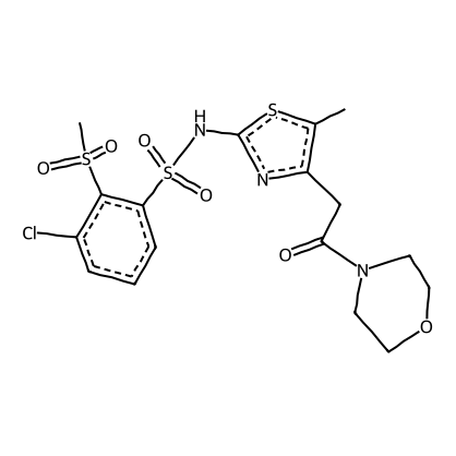 Cc1sc(NS(=O)(=O)c2cccc(Cl)c2S(C)(=O)=O)nc1CC(=O)N1CCOCC1